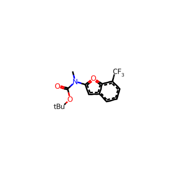 CN(C(=O)OC(C)(C)C)c1cc2cccc(C(F)(F)F)c2o1